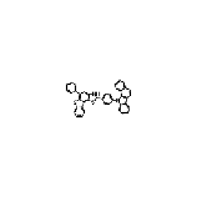 c1ccc(-c2cc3c(c4c2sc2ccccc24)SC(c2ccc(-n4c5ccccc5c5ccc6ccccc6c54)cc2)N3)cc1